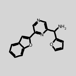 NC(c1cncc(-c2cc3ccccc3o2)n1)c1ccco1